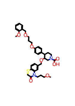 COCCCN1C(=O)CSc2ccc(COC3CN(C(=O)O)CCC3c3ccc(OCCCOCc4ccccc4OC)cc3)cc21